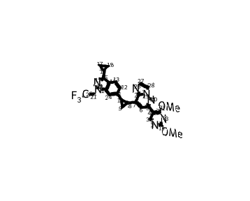 COc1ncc(-c2cc(C3CC3c3ccc4c(C5CC5)nn(CC(F)(F)F)c4c3)c3nccn3n2)c(OC)n1